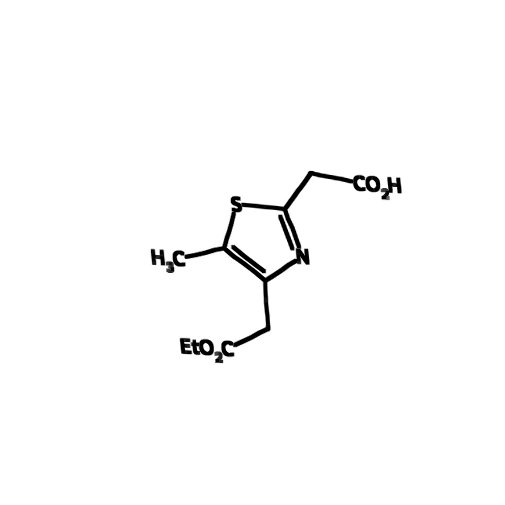 CCOC(=O)Cc1nc(CC(=O)O)sc1C